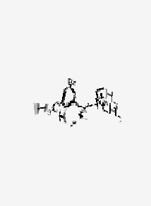 C=C(CCN(C)C)c1cc(C)cc(Br)c1